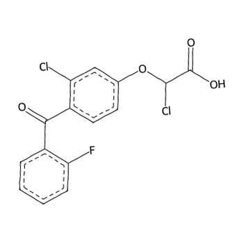 O=C(c1ccccc1F)c1ccc(OC(Cl)C(=O)O)cc1Cl